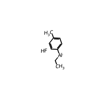 C[CH2][Al][c]1ccc(C)cc1.F